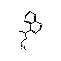 C=CC[S+]([O-])c1cccc2ccccc12